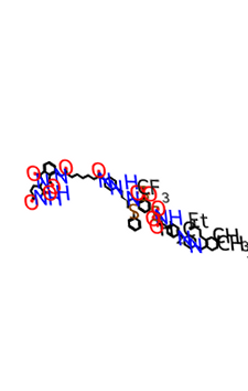 C=C(CC)CCC1=C(CN2CCN(c3ccc(C(=O)NS(=O)(=O)c4ccc(N[C@H](CCN5CCN(C(=O)CCCCCC(=O)Nc6cccc7c6C(=O)N(C6CCC(=O)NC6=O)C7=O)CC5)CSc5ccccc5)c(S(=O)(=O)C(F)(F)F)c4)cc3)CC2)CCC(C)(C)C1